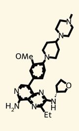 CCc1nc2c(N)ncc(-c3ccc(N4CCC(N5CCN(C)CC5)CC4)c(OC)c3)c2nc1N[C@@H]1CCOC1